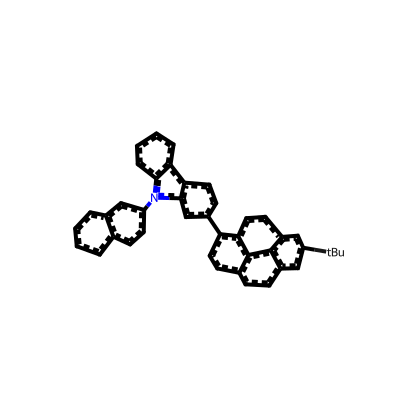 CC(C)(C)c1cc2ccc3ccc(-c4ccc5c6ccccc6n(-c6ccc7ccccc7c6)c5c4)c4ccc(c1)c2c34